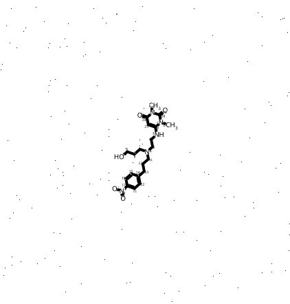 Cn1c(NCCN(CCCO)CCCc2ccc([N+](=O)[O-])cc2)cc(=O)n(C)c1=O